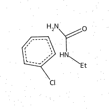 CCNC(N)=O.Clc1ccccc1